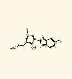 CCCCCCCCCCCCc1cc(C)cc(-n2nc3ccc(Cl)cc3n2)c1O